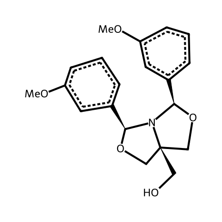 COc1cccc([C@H]2OC[C@]3(CO)CO[C@@H](c4cccc(OC)c4)N23)c1